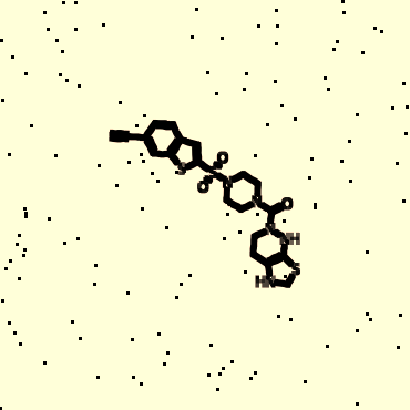 C#Cc1ccc2cc(S(=O)(=O)N3CCN(C(=O)N4CCC5=C(N4)SCN5)CC3)sc2c1